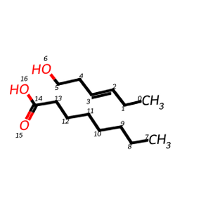 CCC=CCCO.CCCCCCCC(=O)O